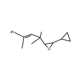 CC(C)/C(F)=C/C(C)(C)C1OC1C1CC1